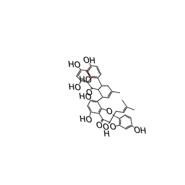 CC(C)=CCC12Oc3c(c(O)cc(O)c3C3C=C(C)CC(c4ccc(O)cc4O)C3C(=O)c3ccc(O)cc3O)C(=O)C1(O)Oc1cc(O)ccc12